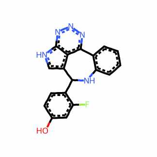 Oc1ccc(C2Nc3ccccc3-c3nnnc4[nH]cc2c34)c(F)c1